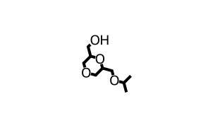 CC(C)OCC1COCC(CO)O1